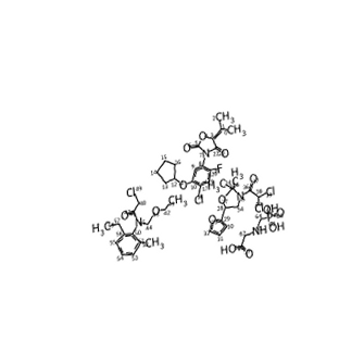 CC(C)=C1OC(=O)N(c2cc(OC3CCCC3)c(Cl)cc2F)C1=O.CC1(C)OC(c2ccco2)CN1C(=O)C(Cl)Cl.CCOCN(C(=O)CCl)c1c(C)cccc1CC.O=C(O)CNCP(=O)(O)O